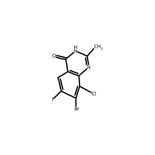 Cc1nc2c(Cl)c(Br)c(I)cc2c(=O)[nH]1